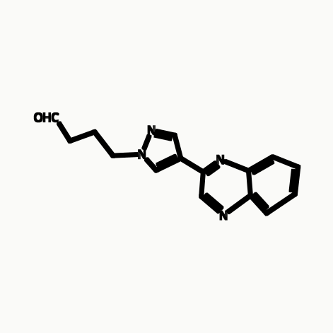 O=CCCCn1cc(-c2cnc3ccccc3n2)cn1